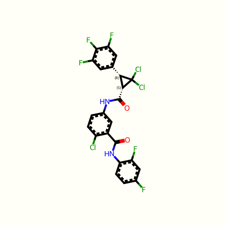 O=C(Nc1ccc(F)cc1F)c1cc(NC(=O)[C@@H]2[C@H](c3cc(F)c(F)c(F)c3)C2(Cl)Cl)ccc1Cl